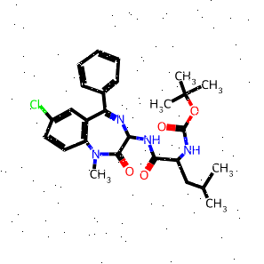 CC(C)CC(NC(=O)OC(C)(C)C)C(=O)NC1N=C(c2ccccc2)c2cc(Cl)ccc2N(C)C1=O